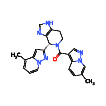 Cc1ccc2c(C(=O)N3CCc4[nH]cnc4[C@H]3c3cc4c(C)cccn4n3)cnn2c1